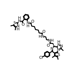 CC1=NNC2[C@H](CC(=O)NCCNC(=O)CCCCCC(=O)Nc3ccccc3C(=O)NC3NC(C)=C(C)S3)N=C(c3ccc(Cl)cc3)c3c(sc(C)c3C)N12